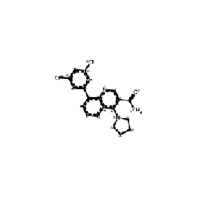 CC(=O)c1cnc2c(-c3cc(Cl)cc(Cl)c3)cccc2c1N1CCCC1